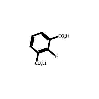 CCOC(=O)c1cccc(C(=O)O)c1F